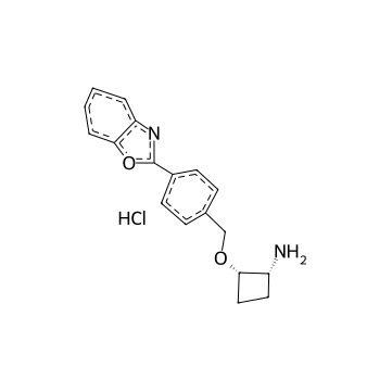 Cl.N[C@@H]1CC[C@@H]1OCc1ccc(-c2nc3ccccc3o2)cc1